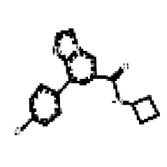 O=C(NC1CCC1)c1cc(-c2ccc(Cl)cc2)c2nccn2c1